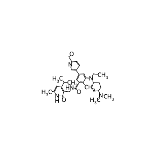 CCN(c1cc(-c2ccc(C=O)nc2)cc(C(=O)NCc2c(C(C)C)cc(C)[nH]c2=O)c1C)[C@H]1CC[C@H](N(C)C)CC1